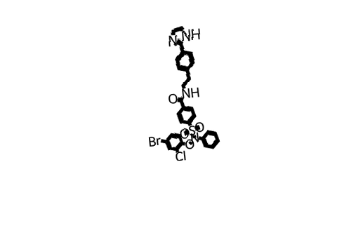 O=C(NCCc1ccc(C2=NCCN2)cc1)c1ccc(S(=O)(=O)N(Oc2ccc(Br)cc2Cl)c2ccccc2)cc1